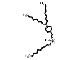 CCCCCCCCCOP(=O)(O)OCCN1CCN(C(CCCCCCCC)CCCCCCCC)CC1